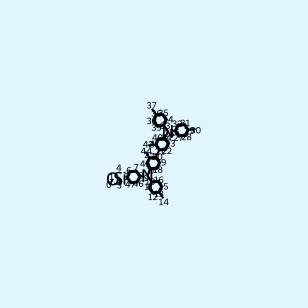 CO[Si](C)(C)c1ccc(N(c2ccc(C)cc2)c2ccc(-c3ccc(N(c4ccc(C)cc4)c4ccc(C)cc4)cc3C)c(C)c2)cc1